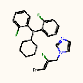 CCC=C(F)Cn1ccnc1.Fc1ccccc1B(c1ccccc1F)C1CCCCC1